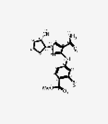 COC(=O)c1ccc(Nc2nn([C@H]3CCC[C@@H]3C#N)cc2C(N)=O)cc1Br